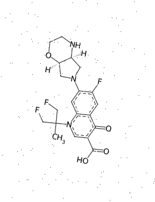 CC(CF)(CF)n1cc(C(=O)O)c(=O)c2cc(F)c(N3C[C@@H]4NCCO[C@@H]4C3)cc21